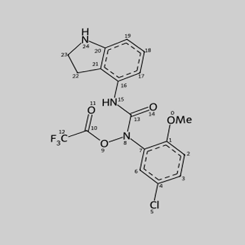 COc1ccc(Cl)cc1N(OC(=O)C(F)(F)F)C(=O)Nc1cccc2c1CCN2